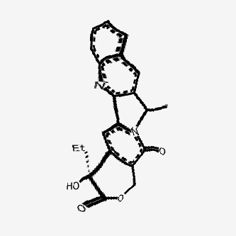 CC[C@@]1(O)C(=O)OCc2c1cc1n(c2=O)C(C)c2cc3ccccc3nc2-1